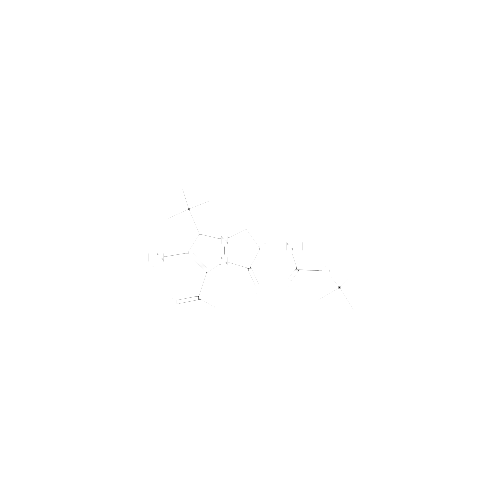 CC(C)(C)OC(=O)N[C@H]1CN2C(C(C)(C)C)C(N)=C(C(=O)O)N2C1=O